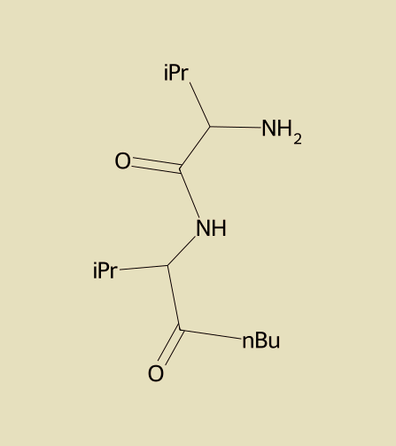 CCCCC(=O)C(NC(=O)C(N)C(C)C)C(C)C